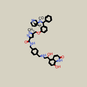 Cn1nc(C(=O)NCc2ccc(CNC[C@@H](O)c3ccc(O)c4[nH]c(=O)ccc34)cc2)cc1COc1cccc(C(c2ccccc2)N(C(=O)O)[C@H]2CN3CCC2CC3)c1